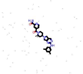 Cc1cc(C)cc(Nc2ncc3c(n2)CN([C@@H]2CCN(C(=O)c4ccnc(C(N)=O)c4)[C@H](C)C2)C3)c1